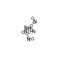 N#Cc1cccc(-c2c(-n3c4ccccc4c4cc(-c5ccnc(-c6ccccc6)c5)ccc43)cncc2-n2c3ccccc3c3cc(-c4ccnc(-c5ccccc5)c4)ccc32)c1